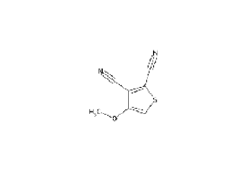 COc1csc(C#N)c1C#N